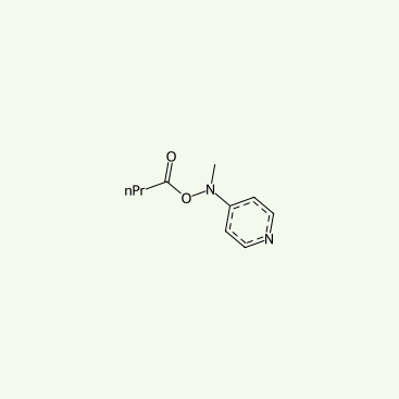 CCCC(=O)ON(C)c1ccncc1